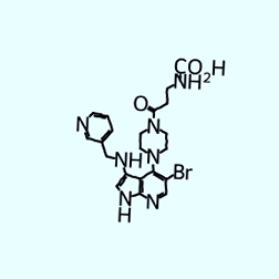 O=C(O)NCCC(=O)N1CCN(c2c(Br)cnc3[nH]cc(NCc4cccnc4)c23)CC1